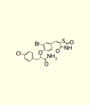 NC(=O)C(Cc1ccc(Cl)cc1)Oc1ccc(/C=C2/SC(=O)NC2=O)cc1Br